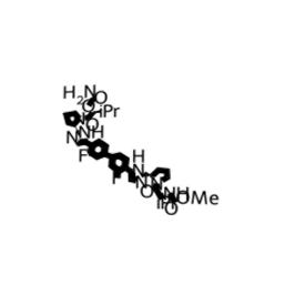 COC(=O)N[C@H](C(=O)N1CCC[C@H]1c1ncc(-c2ccc(-c3ccc(-c4cnc([C@@H]5CCCN5C(=O)[C@@H](OC(N)=O)C(C)C)[nH]4)c(F)c3)cc2F)[nH]1)C(C)C